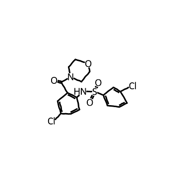 O=C(c1cc(Cl)ccc1NS(=O)(=O)c1cccc(Cl)c1)N1CCOCC1